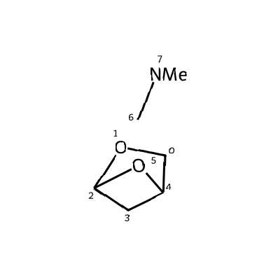 C1OC2CC1O2.CNC